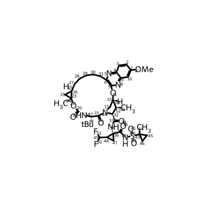 COc1ccc2nc3c(nc2c1)O[C@H]1CN(C(=O)[C@H](C(C)(C)C)NC(=O)O[C@]2(C)C[C@H]2CCCCC3)[C@H](C(=O)N[C@]2(C(=O)NS(=O)(=O)C3(C)CC3)CC2C(F)F)[C@@H]1C